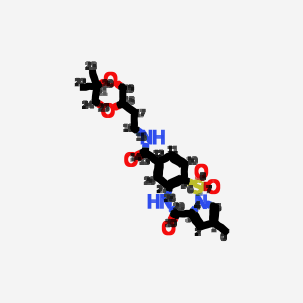 Cc1cc2n(c1)S(=O)(=O)c1ccc(C(=O)NCCC3COC(C)(C)CO3)cc1NC2=O